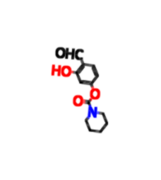 O=Cc1ccc(OC(=O)N2CCCCC2)cc1O